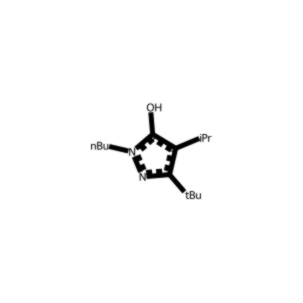 CCCCn1nc(C(C)(C)C)c(C(C)C)c1O